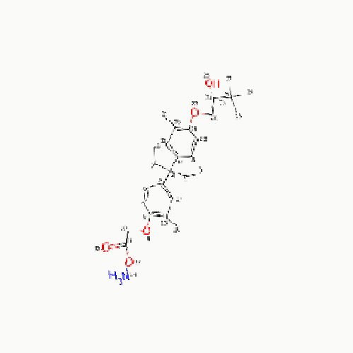 CCC(CC)(c1ccc(OCC(=O)ON)c(C)c1)c1ccc(OC[C@H](O)C(C)(C)C)c(C)c1